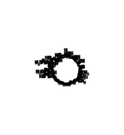 C[C@@H]1OC(=O)CC(O)CC(O)CCC(O)C(O)CC(O)CC2(O)C[C@H](O)C(C(=O)NCCN)[C@H](CC(O[C@@H]3O[C@H](C)[C@@H](O)[C@H](N)C3O)/C=C/C=C/C=C/C=C/C=C/C=C/C=C/[C@H](C)C(O)[C@H]1C)O2